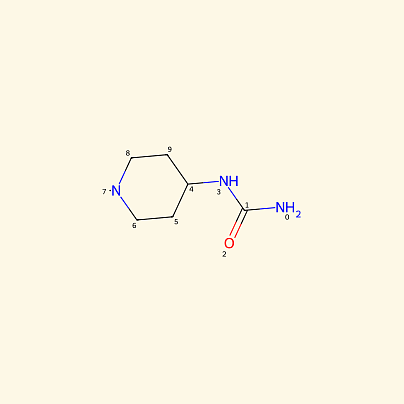 NC(=O)NC1CC[N]CC1